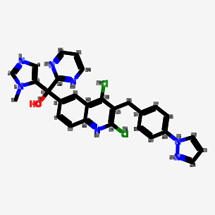 Cn1cncc1C(O)(c1ccc2nc(Cl)c(Cc3ccc(-n4cccn4)cc3)c(Cl)c2c1)c1ncccn1